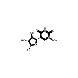 CCCCn1cc([C@@H]2O[C@H](CC)[C@H](O)C2O)c(=O)[nH]c1=O